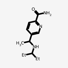 CCC(CC)NC(C)c1ccc(C(N)=O)nc1